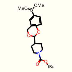 COB(OC)c1ccc2c(c1)COC(C1CCN(C(=O)OC(C)(C)C)CC1)O2